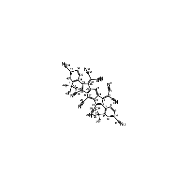 N#CC(C#N)=C1C(c2ccc(C#N)cc2C(F)(F)F)=C(C#N)c2c1cc1c(c2C#N)C(C#N)=C(c2ccc(C#N)cc2C(F)(F)F)C1=C(C#N)C#N